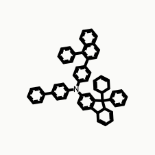 C1=CCC(C2(c3ccccc3)c3cc(N(c4ccc(-c5ccccc5)cc4)c4ccc(-c5ccc6ccccc6c5-c5ccccc5)cc4)ccc3C3C=CC=CC32)C=C1